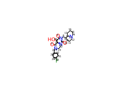 O=C1c2c(O)c(=O)n(CC3CCCN4CCCCC34)c(=O)n2CCN1Cc1ccc(F)cc1